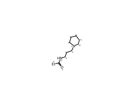 CCC(=O)NCCCN1CCCCC1